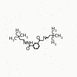 CC(C)(C)C/C=N/CC(=O)c1cccc(C(=O)N/N=C/CC(C)(C)C)c1